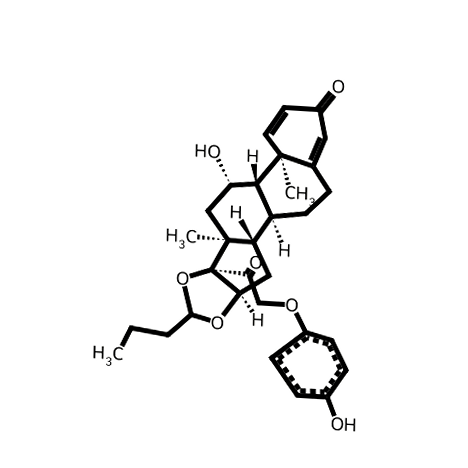 CCCC1O[C@@H]2C[C@H]3[C@@H]4CCC5=CC(=O)C=C[C@]5(C)[C@H]4[C@@H](O)C[C@]3(C)[C@]2(C(=O)COc2ccc(O)cc2)O1